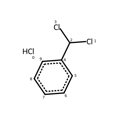 Cl.ClC(Cl)c1ccccc1